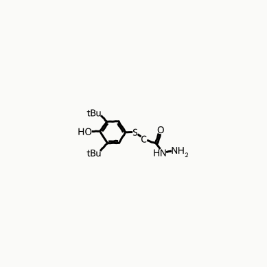 CC(C)(C)c1cc(SCC(=O)NN)cc(C(C)(C)C)c1O